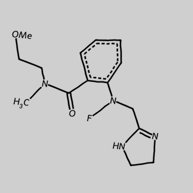 COCCN(C)C(=O)c1ccccc1N(F)CC1=NCCN1